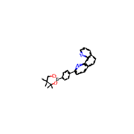 CC1(C)COB(c2ccc(-c3ccc4ccc5cccnc5c4n3)cc2)OC1(C)C